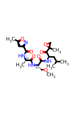 COC[C@H](NC(=O)[C@H](C)NC(=O)c1cc(C)on1)C(=O)NC(CC(C)C)C(=O)C1(C)CO1